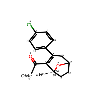 COC(=O)C1=C(c2ccc(Cl)cc2)CC2CC[C@@H]1O2